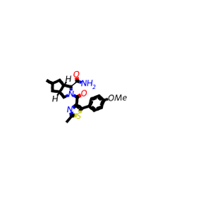 COc1ccc(-c2sc(C)nc2C(=O)N2C[C@@H]3CC(C)C[C@@H]3[C@H]2C(N)=O)cc1